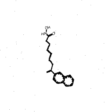 C=C(CCCCCCC(=O)NO)c1ccc2ccccc2c1